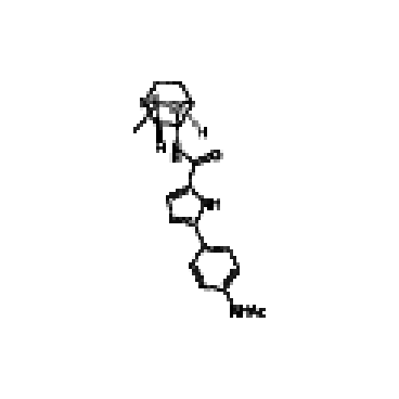 CC(=O)Nc1ccc(-c2ccc(C(=O)N[C@@H]3C4CCN(CC4)[C@H]3C)[nH]2)cc1